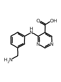 NCc1cccc(Nc2ncncc2C(=O)O)c1